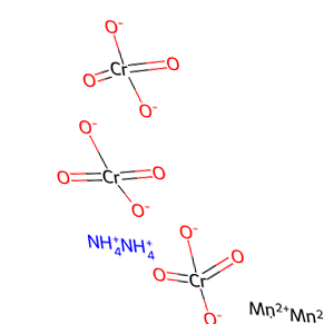 [Mn+2].[Mn+2].[NH4+].[NH4+].[O]=[Cr](=[O])([O-])[O-].[O]=[Cr](=[O])([O-])[O-].[O]=[Cr](=[O])([O-])[O-]